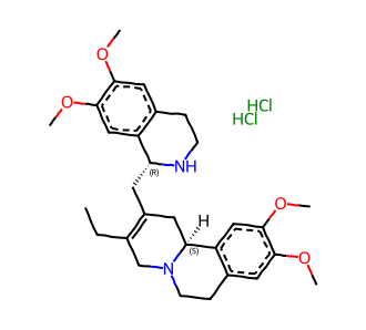 CCC1=C(C[C@H]2NCCc3cc(OC)c(OC)cc32)C[C@H]2c3cc(OC)c(OC)cc3CCN2C1.Cl.Cl